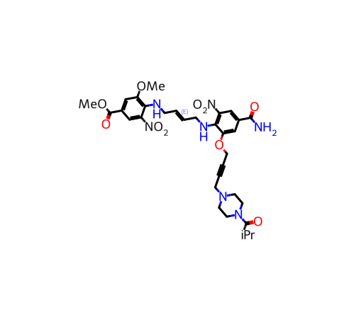 COC(=O)c1cc(OC)c(NC/C=C/CNc2c(OCC#CCN3CCN(C(=O)C(C)C)CC3)cc(C(N)=O)cc2[N+](=O)[O-])c([N+](=O)[O-])c1